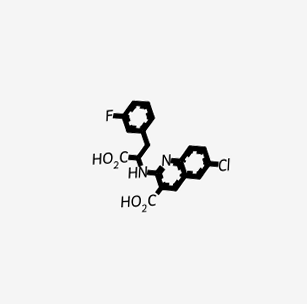 O=C(O)c1cc2cc(Cl)ccc2nc1NC(Cc1cccc(F)c1)C(=O)O